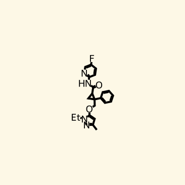 CCn1nc(C)cc1OCC1(c2ccccc2)CC1C(=O)Nc1ccc(F)cn1